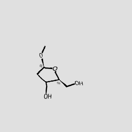 CO[C@@H]1CC(O)[C@H](CO)O1